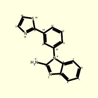 Nc1nc2ccccc2n1-c1cccc(-c2nccs2)c1